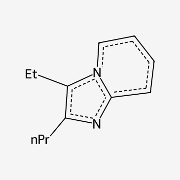 CCCc1nc2ccccn2c1CC